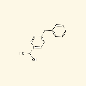 OC(O)c1ccc(Cc2ccccc2)cc1